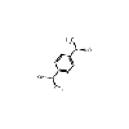 CN(N=O)c1ccc(N(C)N=O)cc1